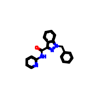 O=C(Nc1ccccn1)c1nn(Cc2ccccc2)c2ccccc12